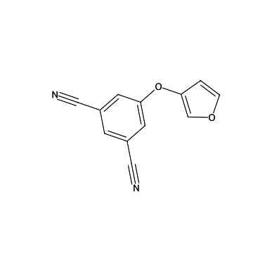 N#Cc1cc(C#N)cc(Oc2ccoc2)c1